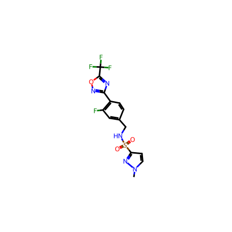 Cn1ccc(S(=O)(=O)NCc2ccc(-c3noc(C(F)(F)F)n3)c(F)c2)n1